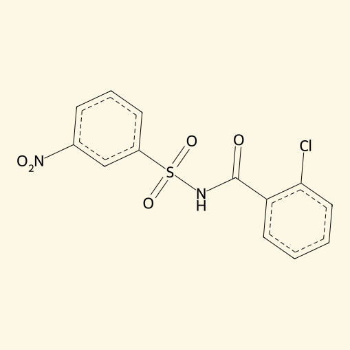 O=C(NS(=O)(=O)c1cccc([N+](=O)[O-])c1)c1ccccc1Cl